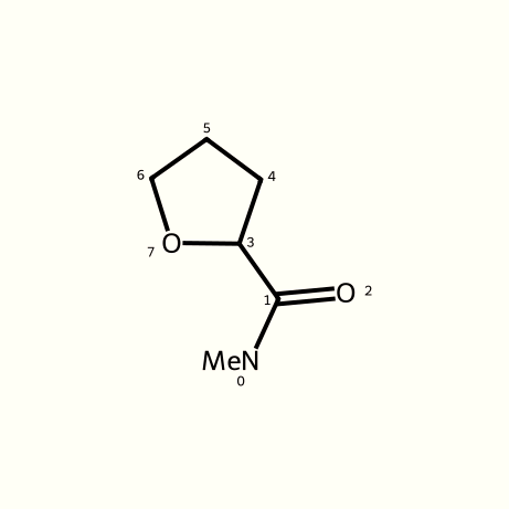 [CH2]NC(=O)C1CCCO1